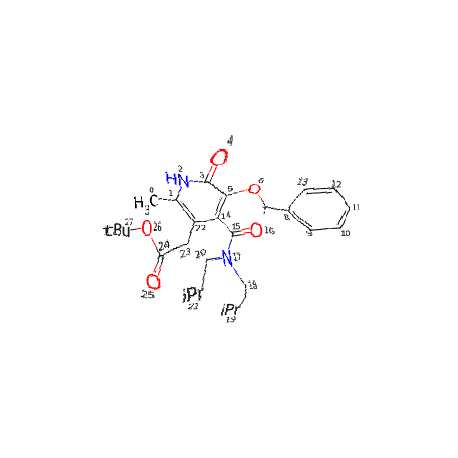 Cc1[nH]c(=O)c(OCc2ccccc2)c(C(=O)N(CC(C)C)CC(C)C)c1CC(=O)OC(C)(C)C